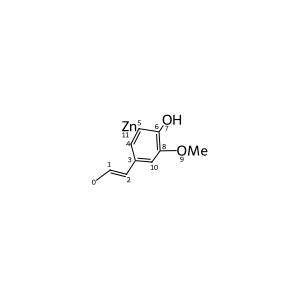 C/C=C/c1ccc(O)c(OC)c1.[Zn]